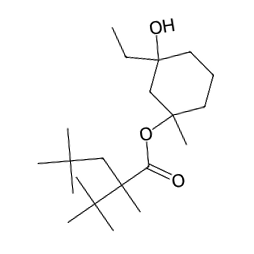 CCC1(O)CCCC(C)(OC(=O)C(C)(CC(C)(C)C)C(C)(C)C)C1